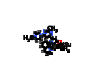 Cc1nc([C@H]2C[C@@H](O[Si](C)(C)C(C)(C)C)CN2[C@H]2CCCc3cccnc32)cc(N2CCN(C)CC2)n1